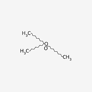 CCCCCCCCCC(=O)OC(CCCCCCCC)CCCCCCCC